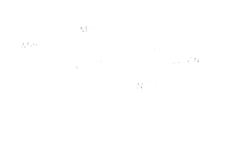 COCCOc1cc2ncc(C#N)cc2cc1OC